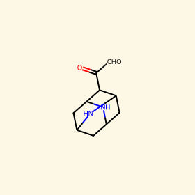 O=CC(=O)C1C2CC3CC(CC1N3)N2